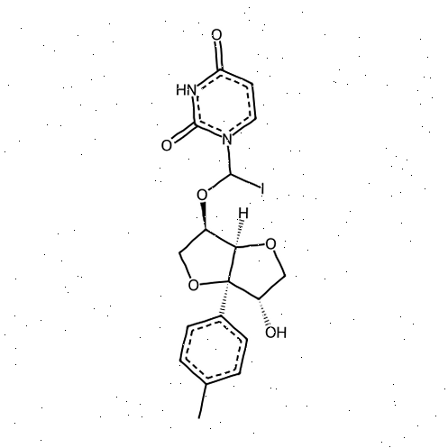 Cc1ccc([C@]23OC[C@@H](OC(I)n4ccc(=O)[nH]c4=O)[C@H]2OC[C@@H]3O)cc1